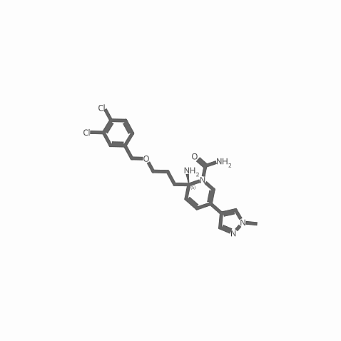 Cn1cc(C2=CN(C(N)=O)[C@@](N)(CCCOCc3ccc(Cl)c(Cl)c3)C=C2)cn1